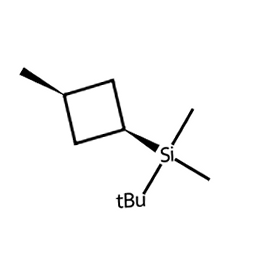 CC(C)(C)[Si](C)(C)[C@H]1C[C@@H](C)C1